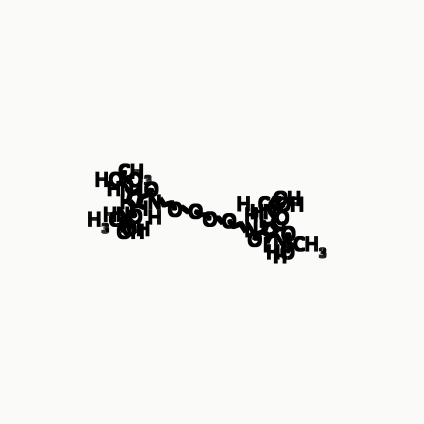 CC(O)C(=O)Nc1c(I)c(C(=O)NCCCOCCOCCOCCOCCCNC(=O)c2c(I)c(NC(=O)C(C)O)c(I)c(C(=O)NC(C)(CO)CO)c2I)c(I)c(C(=O)NC(C)(CO)CO)c1I